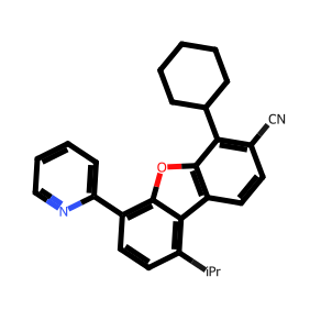 CC(C)c1ccc(-c2ccccn2)c2oc3c(C4CCCCC4)c(C#N)ccc3c12